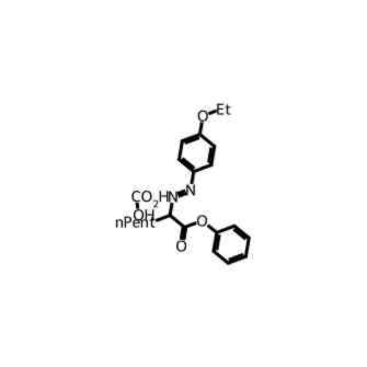 CCCCCC(N=Nc1ccc(OCC)cc1)C(=O)Oc1ccccc1.O=C(O)O